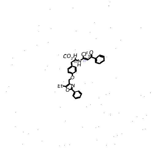 CCc1oc(-c2ccccc2)nc1COc1ccc(C[C@H](N/C(=C/C(=O)c2ccccc2)C(F)(F)F)C(=O)O)cc1